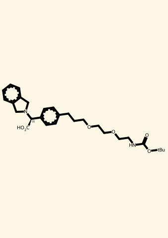 CC(C)(C)OC(=O)NCCOCCOCCCc1ccc([C@@H](C(=O)O)N2Cc3ccccc3C2)cc1